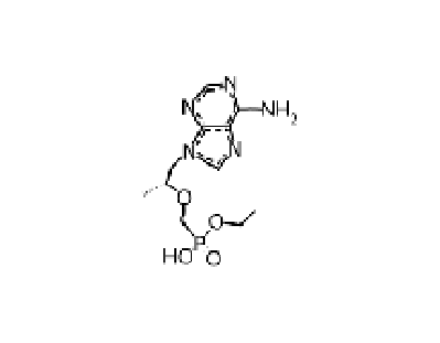 CCOP(=O)(O)CO[C@H](C)Cn1cnc2c(N)ncnc21